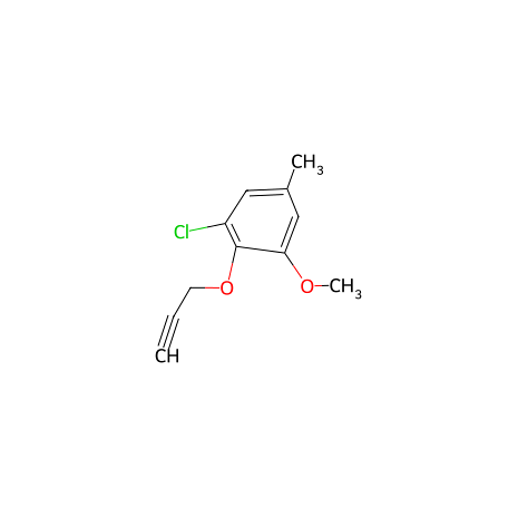 C#CCOc1c(Cl)cc(C)cc1OC